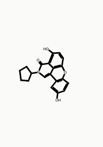 O=c1c2c(O)ccc3c2c(cn1C1CCCC1)-c1cc(O)ccc1O3